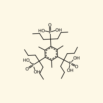 CCCC(CCC)(c1c(C)c(C(CCC)(CCC)P(=O)(O)O)c(C)c(C(CCC)(CCC)P(=O)(O)O)c1C)P(=O)(O)O